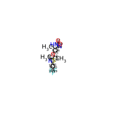 CCc1cc(OC(CC)c2sc(-c3ccc(C(F)(F)F)cc3)nc2C)ccc1-c1noc(=O)[nH]1